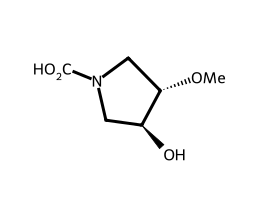 CO[C@H]1CN(C(=O)O)C[C@@H]1O